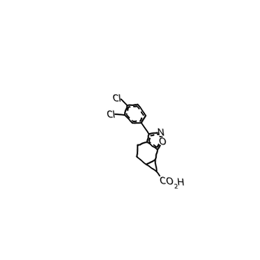 O=C(O)C1C2CCc3c(-c4ccc(Cl)c(Cl)c4)noc3C21